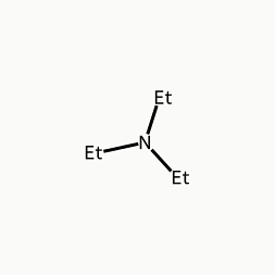 [CH2]CN(C[CH2])C[CH2]